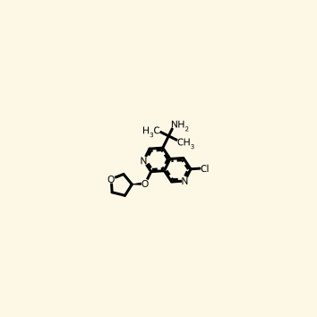 CC(C)(N)c1cnc(O[C@H]2CCOC2)c2cnc(Cl)cc12